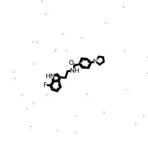 O=C(NCCc1c[nH]c2c(F)cccc12)c1ccc(N2CCCC2)cc1